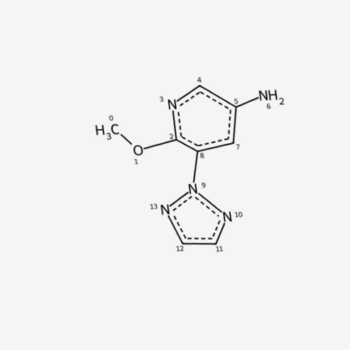 COc1ncc(N)cc1-n1nccn1